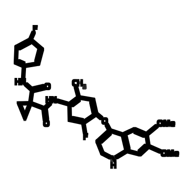 COc1cc2c(cc1OC)C(Oc1cc(C)c(NC(=O)C3(C(=O)Nc4ccc(F)cc4)CC3)cc1F)=CCN2